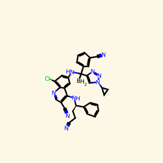 BC(Nc1cc(Cl)c2ncc(C#N)c(N[C@H](CCC#N)c3ccccc3)c2c1)(c1cccc(C#N)c1)c1cn(C2CC2)nn1